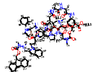 CC[C@H](C)[C@@H]([C@@H](CC(=O)N1CCC[C@H]1[C@H](OC)[C@@H](C)C(=O)N[C@@H](Cc1ccccc1)c1nccs1)OC)N(C)C(=O)[C@@H](NC(=O)[C@H](C(C)C)N(C)C(=O)OCc1ccc(NC(=O)[C@H](C)NC(=O)[C@@H](NC(=O)CCC(=O)N(CCOCCOCCC(=O)OC(C)(C)C)C2CCN(C(=O)CCn3c(CN(C)N(C)C(=O)OCC4c5ccccc5-c5ccccc54)cc4ccccc43)CC2)C(C)C)cc1)C(C)C